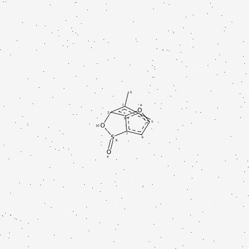 Cc1c2c3oc1cc3S(=O)O2